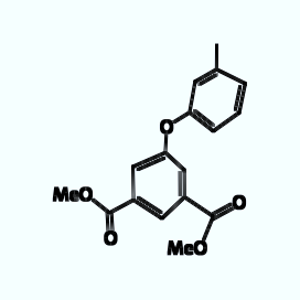 COC(=O)c1cc(Oc2cccc(C)c2)cc(C(=O)OC)c1